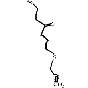 C=CCOCCCC(=O)CCC(C)=O